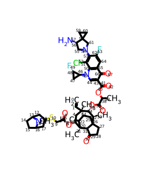 C=C[C@@]1(C)C[C@H](OC(=O)CSC2CC3CCC(C2)N3C)[C@@]2(C)C(C)CCC3(CCC(=O)C32)[C@H](C)[C@H]1OC(=O)C(C)OC(=O)c1cn(C2C[C@@H]2F)c2c(Cl)c(N3C[C@@H](N)C4(CC4)C3)c(F)cc2c1=O